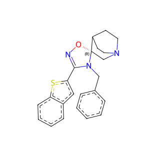 c1ccc(CN2C(c3cc4ccccc4s3)=NO[C@]23CN2CCC3CC2)cc1